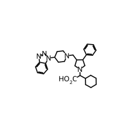 O=C(O)C(C1CCCCC1)N1CC(CN2CCC(n3nnc4ccccc43)CC2)C(c2ccccc2)C1